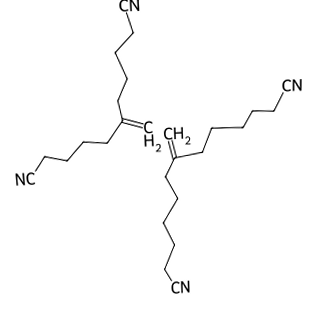 C=C(CCCCC#N)CCCCC#N.C=C(CCCCCC#N)CCCCCC#N